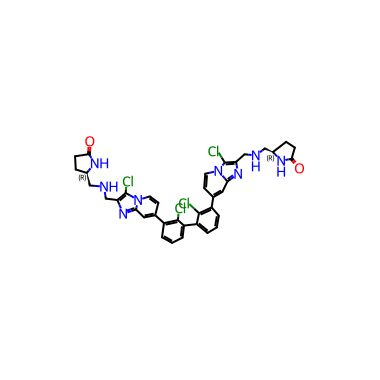 O=C1CC[C@H](CNCc2nc3cc(-c4cccc(-c5cccc(-c6ccn7c(Cl)c(CNC[C@H]8CCC(=O)N8)nc7c6)c5Cl)c4Cl)ccn3c2Cl)N1